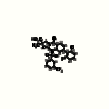 CC(C)(CN1CN(S(=O)(=O)c2cccc(C(F)(F)F)c2)c2cc(-c3c(F)cccc3Cl)ccc2C1=O)C(=O)O